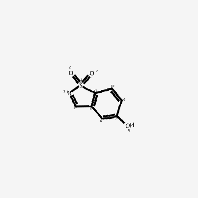 O=S1(=O)N=Cc2cc(O)ccc21